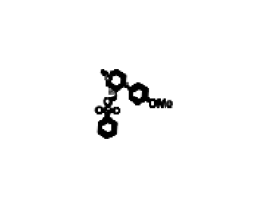 COc1ccc([C@@H]2CCN(C)C[C@H]2COS(=O)(=O)c2ccccc2)cc1